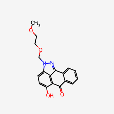 COCCOCn1nc2c3c(c(O)ccc31)C(=O)c1ccccc1-2